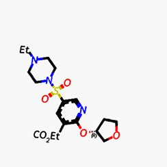 CCOC(=O)c1cc(S(=O)(=O)N2CCN(CC)CC2)cnc1O[C@@H]1CCOC1